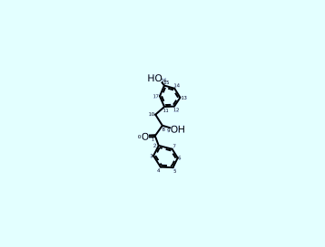 O=C(c1ccccc1)C(O)Cc1cccc(O)c1